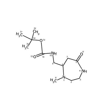 CN1CCNC(=O)CC1CNC(=O)OC(C)(C)C